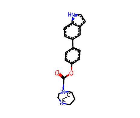 O=C(Oc1ccc(-c2ccc3[nH]ccc3c2)cc1)N1CCN2CCC1CC2